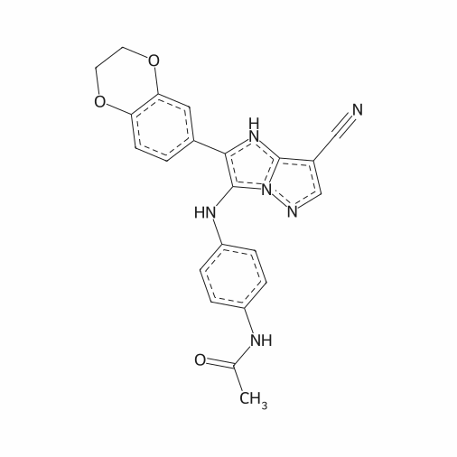 CC(=O)Nc1ccc(Nc2c(-c3ccc4c(c3)OCCO4)[nH]c3c(C#N)cnn23)cc1